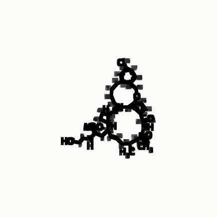 CO[C@@]1(CC(=O)NCCO)/C=C/C[C@H](C)[C@@H](C)S(=O)(=O)NC(=O)c2ccc3c(c2)N(CCCCc2cc(Cl)ccc2CO3)C[C@@H]2CC[C@H]21